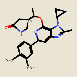 COc1ccc(C2C=c3nc(C)n(C4CC4)c3=C(O[C@H](C)[C@H]3CNC(=O)C3)N2)cc1OC